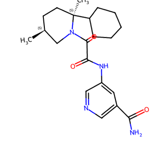 C[C@H]1CC[C@@](C)(C2CCCCC2)N(C(=O)C(=O)Nc2cncc(C(N)=O)c2)C1